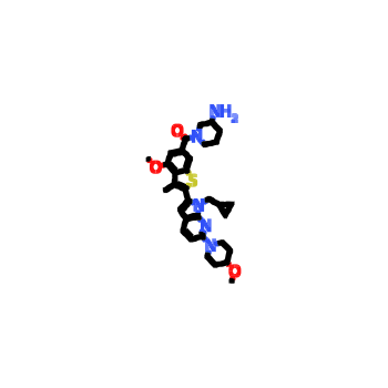 COc1cc(C(=O)N2CCCC(N)C2)cc2sc(-c3cc4ccc(N5CCC(OC)CC5)nc4n3CC3CC3)c(C)c12